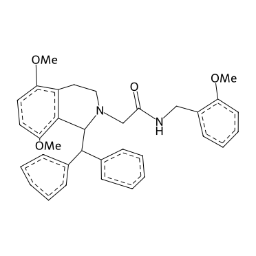 COc1ccccc1CNC(=O)CN1CCc2c(OC)ccc(OC)c2C1C(c1ccccc1)c1ccccc1